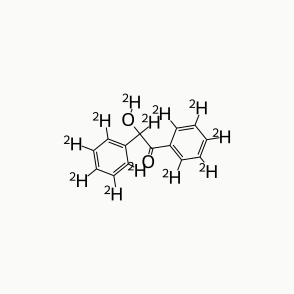 [2H]OC([2H])(C(=O)c1c([2H])c([2H])c([2H])c([2H])c1[2H])c1c([2H])c([2H])c([2H])c([2H])c1[2H]